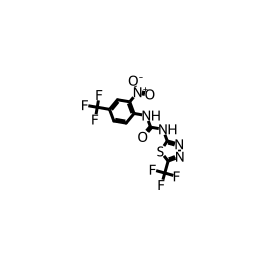 O=C(Nc1nnc(C(F)(F)F)s1)Nc1ccc(C(F)(F)F)cc1[N+](=O)[O-]